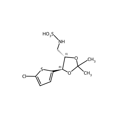 CC1(C)O[C@@H](CNS(=O)(=O)O)[C@H](c2ccc(Cl)s2)O1